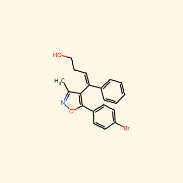 Cc1noc(-c2ccc(Br)cc2)c1/C(=C\CCO)c1ccccc1